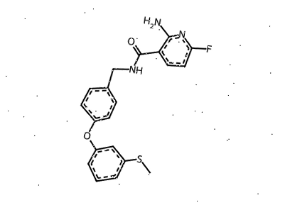 CSc1cccc(Oc2ccc(CNC(=O)c3ccc(F)nc3N)cc2)c1